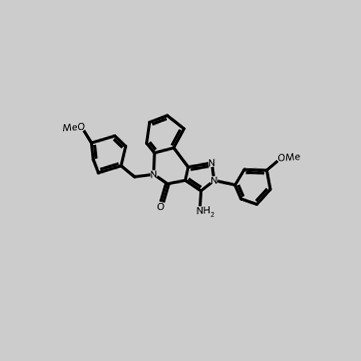 COc1ccc(Cn2c(=O)c3c(N)n(-c4cccc(OC)c4)nc3c3ccccc32)cc1